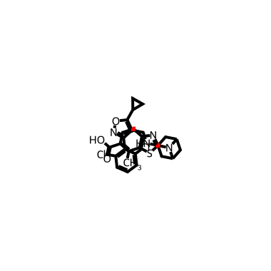 Cc1c(C(=O)O)ccc2nc(N3C4CC(NCc5c(-c6c(Cl)cccc6Cl)noc5C5CC5)CC3C4)sc12